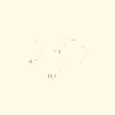 C=C(C)[n+]1ccccc1C